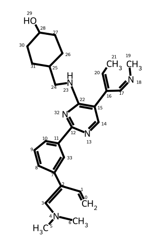 C=C/C(=C\N(C)C)c1cccc(-c2ncc(C(/C=N\C)=C/C)c(NCC3CCC(O)CC3)n2)c1